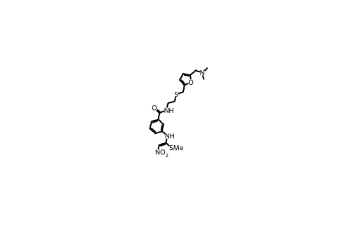 CSC(=C[N+](=O)[O-])Nc1cccc(C(=O)NCCSCc2ccc(CN(C)C)o2)c1